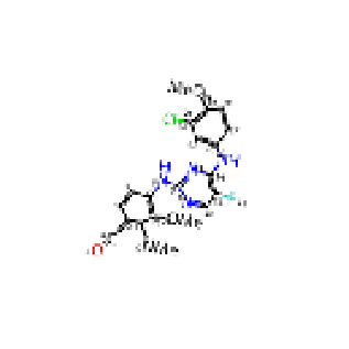 CNC1C(=C=O)C=CC(Nc2ncc(F)c(Nc3ccc(OC)c(Cl)c3)n2)=C1OC